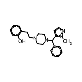 Cn1nccc1C(c1ccccc1)N1CCN(CCc2ccccc2O)CC1